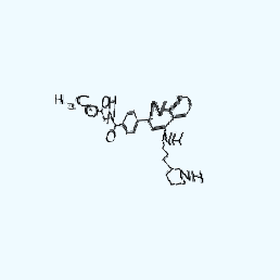 COC(=O)CNC(=O)c1ccc(-c2cc(NCCCC3CCCNC3)c3ccccc3n2)cc1